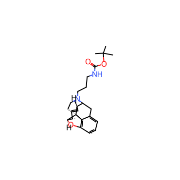 CC(C)(C)OC(=O)NCCCN1CC[C@@]23c4c5[c]ccc4CC1[C@@H]2C=C[CH][C@H]3O5